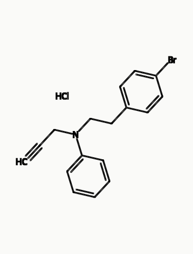 C#CCN(CCc1ccc(Br)cc1)c1ccccc1.Cl